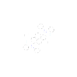 CC(C)c1cc(N(c2ccccc2)c2ccccc2F)c2ccc3c(C(C)C)cc(N(c4ccccc4)c4ccccc4F)c4ccc1c2c34